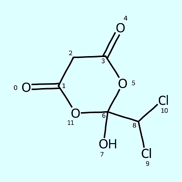 O=C1CC(=O)OC(O)(C(Cl)Cl)O1